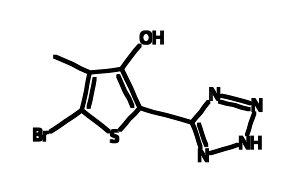 Cc1c(Br)sc(-c2nn[nH]n2)c1O